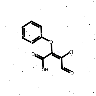 O=C/C(Cl)=C(/Oc1ccccc1)C(=O)O